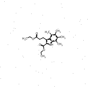 CCOC(=O)CCc1c(C(=O)OCC)[nH]c2c(C)c(C)c(C)c(C)c12